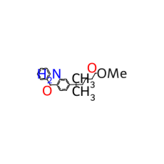 COC(=O)CCCC(C)(C)c1ccc(C(=O)c2ccccc2)c(N)c1